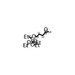 CCO[Si](OCC)(OCC)C(CC)OCCCC1CO1